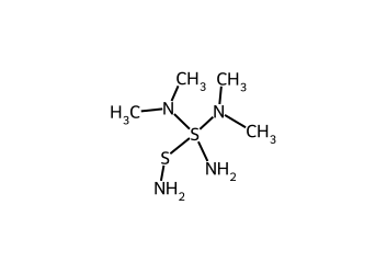 CN(C)S(N)(SN)N(C)C